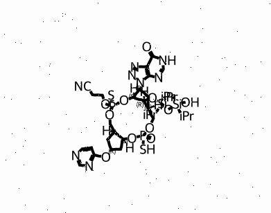 CC(C)[Si](O)(O[Si](O[C@@H]1[C@H]2COP(=O)(S)O[C@H]3C[C@H](Oc4ccncn4)C[C@@H]3COP(=S)(OCCC#N)O[C@H]1[C@H](n1nnc3c(=O)[nH]cnc31)C2)(C(C)C)C(C)C)C(C)C